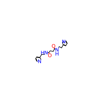 O=C(CCC(=O)NCCc1cccnc1)NCCc1cccnc1